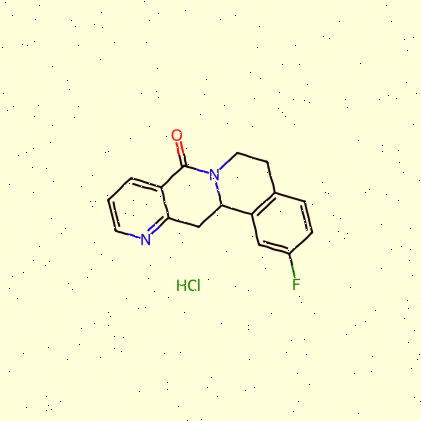 Cl.O=C1c2cccnc2CC2c3cc(F)ccc3CCN12